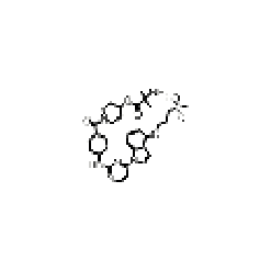 CC(C)(N)C(=O)OC1CCN(C(=O)C2CCC(Nc3nccc(-n4ccc5c(OCCCS(C)(=O)=O)cccc54)n3)CC2)CC1